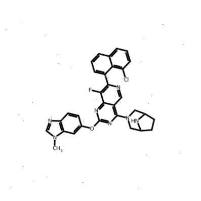 Cn1cnc2ccc(Oc3nc(N4CC5CCC(C4)N5)c4cnc(-c5cccc6cccc(Cl)c56)c(F)c4n3)cc21